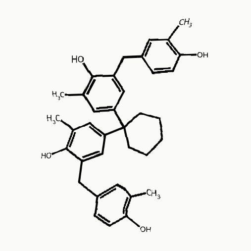 Cc1cc(Cc2cc(C3(c4cc(C)c(O)c(Cc5ccc(O)c(C)c5)c4)CCCCC3)cc(C)c2O)ccc1O